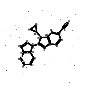 N#Cc1ccc2nc(-n3cnc4cnccc43)n(C3CC3)c2n1